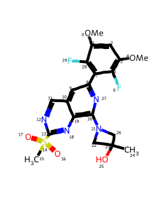 COc1cc(OC)c(F)c(-c2cc3cnc(S(C)(=O)=O)nc3c(N3CC(C)(O)C3)n2)c1F